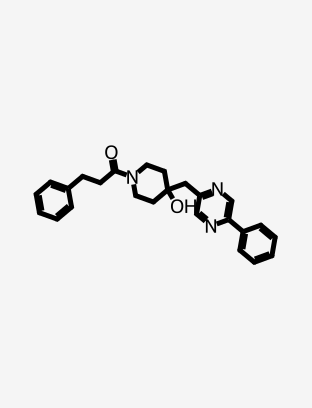 O=C(CCc1ccccc1)N1CCC(O)(Cc2cnc(-c3ccccc3)cn2)CC1